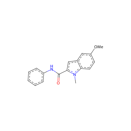 COc1ccc2c(c1)cc(C(=O)Nc1ccccc1)n2C